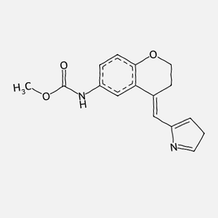 COC(=O)Nc1ccc2c(c1)/C(=C/C1=CCC=N1)CCO2